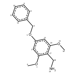 COc1cc(OCc2ccccc2)cc(OC)c1CN